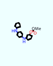 COC(=O)Oc1cccc(Nc2ccc(Nc3ccccc3)cc2)c1